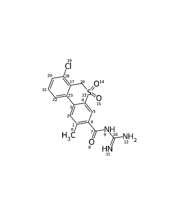 Cc1cc2c(cc1C(=O)NC(=N)N)S(=O)(=O)Cc1c(Cl)cccc1-2